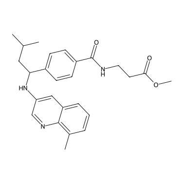 COC(=O)CCNC(=O)c1ccc(C(CC(C)C)Nc2cnc3c(C)cccc3c2)cc1